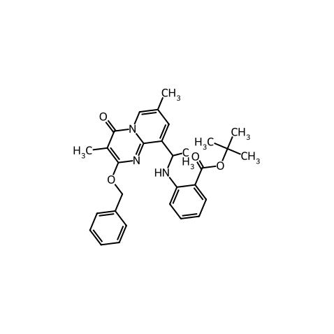 Cc1cc(C(C)Nc2ccccc2C(=O)OC(C)(C)C)c2nc(OCc3ccccc3)c(C)c(=O)n2c1